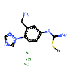 CCSC(=N)Nc1ccc(-n2cncn2)c(CN)c1.Cl.Cl.Cl